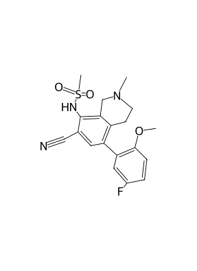 COc1ccc(F)cc1-c1cc(C#N)c(NS(C)(=O)=O)c2c1CCN(C)C2